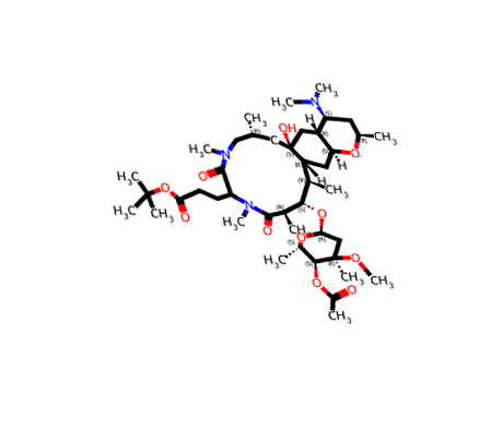 CO[C@]1(C)C[C@H](O[C@H]2[C@H](C)[C@H]3C[C@@H]4O[C@H](C)C[C@H](N(C)C)[C@H]4C[C@@]3(O)C[C@@H](C)CN(C)C(=O)C(CCC(=O)OC(C)(C)C)N(C)C(=O)[C@@H]2C)O[C@@H](C)[C@@H]1OC(C)=O